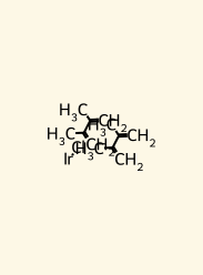 C=C(C)C(=C)C.C=C(C)C(=C)C.[Cl][Ir]